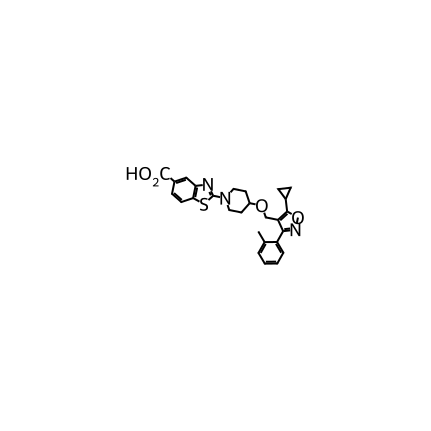 Cc1ccccc1-c1noc(C2CC2)c1COC1CCN(c2nc3cc(C(=O)O)ccc3s2)CC1